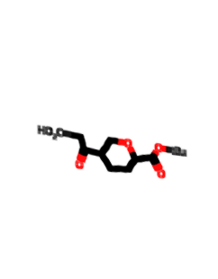 CC(C)(C)OC(=O)C1CCC(C(=O)CC(=O)O)CO1